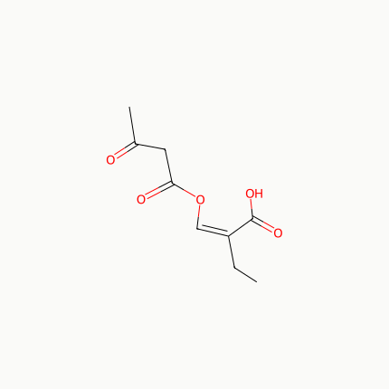 CCC(=COC(=O)CC(C)=O)C(=O)O